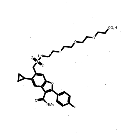 CNC(=O)c1c(-c2ccc(F)cc2)oc2cc(CS(=O)(=O)NCCOCCOCCOCCC(=O)O)c(C3CC3)cc12